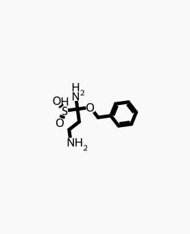 NCCC(N)(OCc1ccccc1)[SH](=O)=O